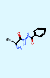 CCC(C)[C@H](N)C(=O)NNC(=O)c1ccccc1